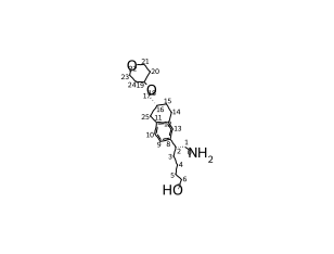 NC[C@H](CCCCO)c1ccc2c(c1)CC[C@@H](COC1CCOCC1)C2